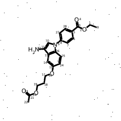 CCOC(=O)c1ccc(-n2cc(N)c3cc(OCCCOC(C)=O)ccc32)cc1